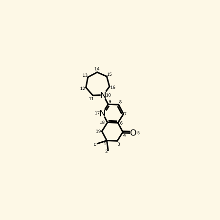 CC1(C)CC(=O)c2ccc(N3CCCCCC3)nc2C1